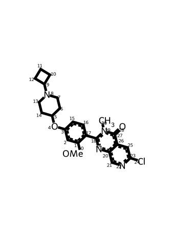 COc1cc(OC2CCN(C3CCC3)CC2)ccc1-c1nc2cnc(Cl)cc2c(=O)n1C